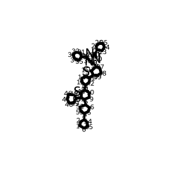 c1ccc(-c2ccc(-c3ccc(-c4ccc5sc6c(-c7nc(-c8ccccc8)nc(-c8ccccc8)n7)cccc6c5c4)c4sc5ccccc5c34)cc2)cc1